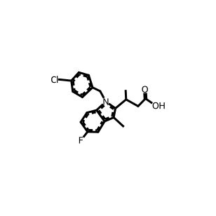 Cc1c(C(C)CC(=O)O)n(Cc2ccc(Cl)cc2)c2ccc(F)cc12